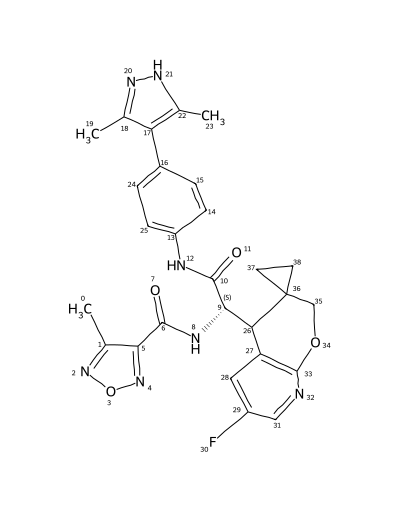 Cc1nonc1C(=O)N[C@H](C(=O)Nc1ccc(-c2c(C)n[nH]c2C)cc1)C1c2cc(F)cnc2OCC12CC2